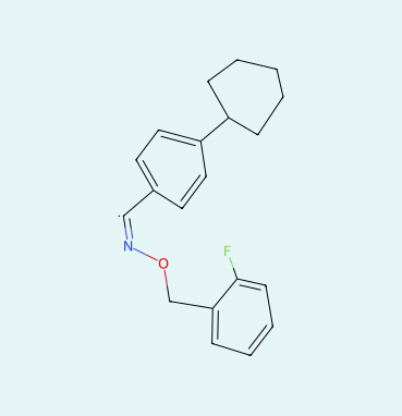 Fc1ccccc1CO/N=[C]\c1ccc(C2CCCCC2)cc1